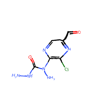 NNC(=O)N(N)c1ncc(C=O)nc1Cl